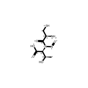 C[C@@H](O)[C@@H](C(=O)O)N(N=O)C(=O)[C@H](N)CS